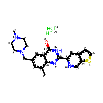 Cc1cc(CN2CCN(C)CC2)cc2c(=O)[nH]c(-c3cc4ccsc4cn3)nc12.Cl.Cl